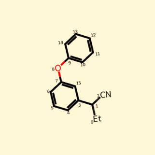 CCC(C#N)c1cccc(Oc2ccccc2)c1